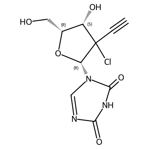 C#CC1(Cl)[C@@H](O)[C@@H](CO)O[C@H]1n1cnc(=O)[nH]c1=O